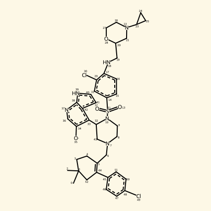 CC1(C)CCC(CN2CCN(S(=O)(=O)c3ccc(NCC4CN(C5CC5)CCO4)c(Cl)c3)C(c3c([O])cnc4[nH]ccc34)C2)=C(c2ccc(Cl)cc2)C1